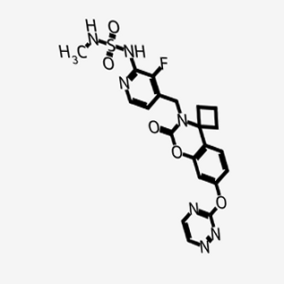 CNS(=O)(=O)Nc1nccc(CN2C(=O)Oc3cc(Oc4nccnn4)ccc3C23CCC3)c1F